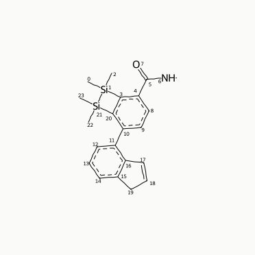 C[Si]1(C)c2c(C([NH])=O)ccc(-c3cccc4c3C=CC4)c2[Si]1(C)C